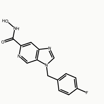 O=C(NO)c1cc2ncn(Cc3ccc(F)cc3)c2cn1